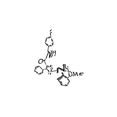 COc1ccccc1Nc1nc(-c2ccccc2)c(C(=O)NCc2ccc(F)cc2)s1